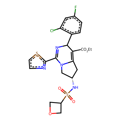 CCOC(=O)C1=C2C[C@H](NS(=O)(=O)C3COC3)CN2C(c2nccs2)=NC1c1ccc(F)cc1Cl